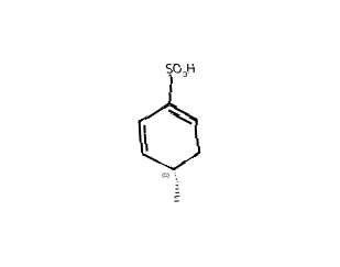 C[C@@H]1C=CC(S(=O)(=O)O)=CC1